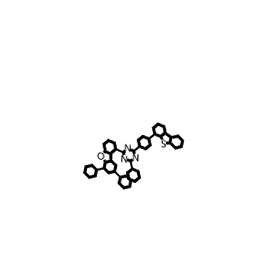 c1ccc(-c2cc(-c3ccccc3)c3oc4cccc(-c5nc(-c6ccccc6)nc(-c6ccc(-c7cccc8c7sc7ccccc78)cc6)n5)c4c3c2)cc1